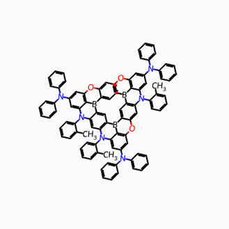 Cc1ccccc1N1c2cc3c(cc2B2c4ccccc4Oc4cc(N(c5ccccc5)c5ccccc5)cc1c42)B1c2cc4c(cc2N(c2ccccc2C)c2cc(N(c5ccccc5)c5ccccc5)cc(c21)O3)N(c1ccccc1C)c1cc(N(c2ccccc2)c2ccccc2)cc2c1B4c1ccccc1O2